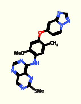 COc1cc(Oc2ccn3ncnc3c2)c(C)cc1Nc1ncnc2cnc(SC)nc12